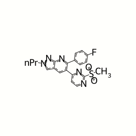 CCCn1cc2cc(-c3ccnc(S(C)(=O)=O)n3)c(-c3ccc(F)cc3)nc2n1